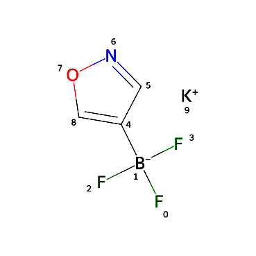 F[B-](F)(F)c1cnoc1.[K+]